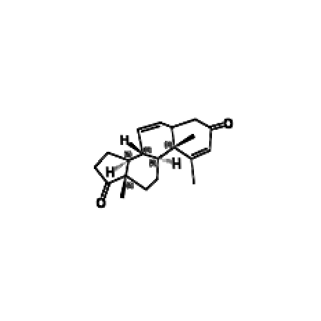 CC1=CC(=O)CC2C=C[C@@H]3[C@H](CC[C@]4(C)C(=O)CC[C@@H]34)[C@@]12C